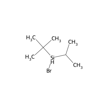 CC(C)[SiH](Br)C(C)(C)C